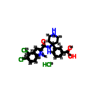 Cl.Cn1c(C(=O)NC2(c3cccc(C(=O)O)c3)CCNCC2)cc2c(Cl)c(Cl)ccc21